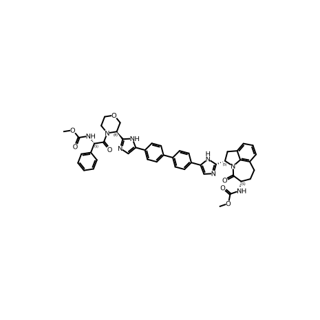 COC(=O)N[C@H]1CCc2cccc3c2N(C1=O)[C@H](c1ncc(-c2ccc(-c4ccc(-c5cnc([C@@H]6COCCN6C(=O)[C@@H](NC(=O)OC)c6ccccc6)[nH]5)cc4)cc2)[nH]1)C3